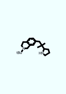 CC(C)(Cc1ccc2c(c1)CN(C(C)(C)C)CC2)C1CCCN1